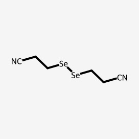 N#CCC[Se][Se]CCC#N